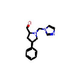 O=CC1CC(c2ccccc2)CN1Cn1ccnc1